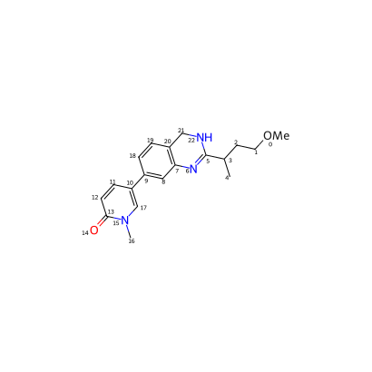 COCCC(C)C1=Nc2cc(-c3ccc(=O)n(C)c3)ccc2CN1